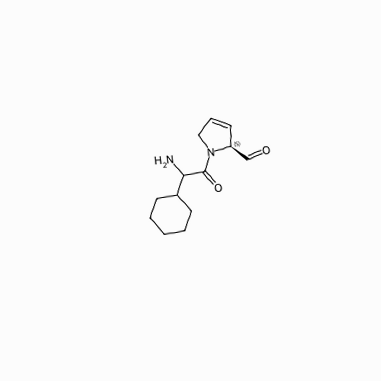 NC(C(=O)N1CC=C[C@H]1C=O)C1CCCCC1